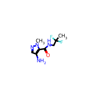 Cn1ncc(N)c1C(=O)NCC(C)(F)F